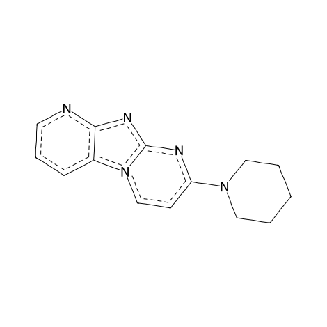 c1cnc2nc3nc(N4CCCCC4)ccn3c2c1